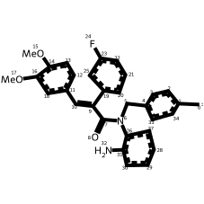 [CH]c1ccc(CN(C(=O)C(=Cc2ccc(OC)c(OC)c2)c2cccc(F)c2)c2ccccc2N)cc1